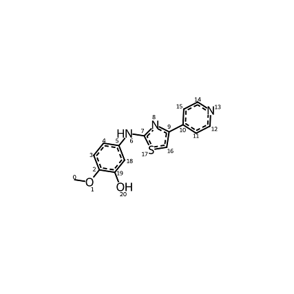 COc1ccc(Nc2nc(-c3ccncc3)cs2)cc1O